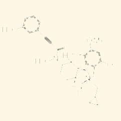 COc1cc(O)c2c3c1O[C@H]1[C@@H](N(C)C(=O)C#Cc4cccc(C)c4)CC[C@H]4[C@@H](C2)N(CC2CC2)CC[C@@]341